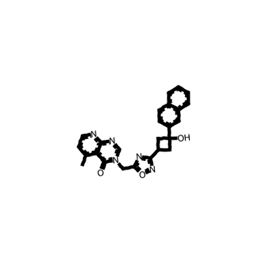 Cc1ccnc2ncn(Cc3nc(C4CC(O)(c5ccc6ccccc6c5)C4)no3)c(=O)c12